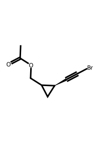 CC(=O)OCC1C[C@@H]1C#CBr